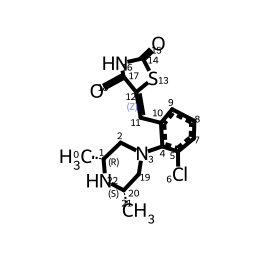 C[C@@H]1CN(c2c(Cl)cccc2/C=C2\SC(=O)NC2=O)C[C@H](C)N1